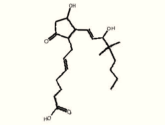 CCCCC(C)(C)C(O)C=CC1C(O)CC(=O)C1CC=CCCCC(=O)O